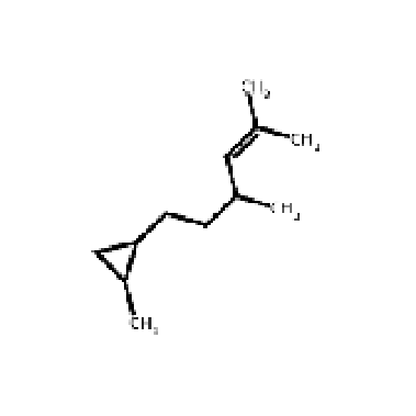 CC(C)=CC(C)CCC1CC1C